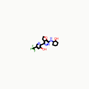 Oc1cc(C(F)(F)F)cnc1-c1nnc(NC2CCCCC2O)c2c1CCO2